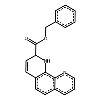 O=C(OCc1ccccc1)C1C=Cc2ccc3cccnc3c2N1